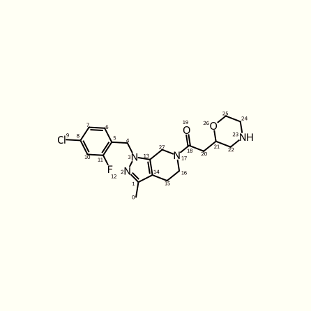 Cc1nn(Cc2ccc(Cl)cc2F)c2c1CCN(C(=O)CC1CNCCO1)C2